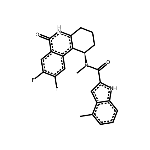 Cc1cccc2[nH]c(C(=O)N(C)[C@@H]3CCCc4[nH]c(=O)c5cc(F)c(F)cc5c43)cc12